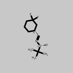 CC(C)(C)[S@@+]([O-])N=C[C@@H]1CCCC(F)(F)C1